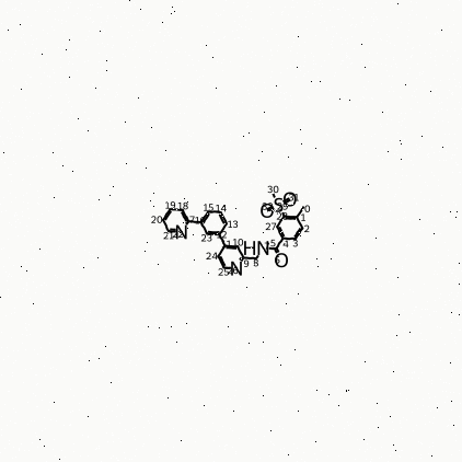 Cc1ccc(C(=O)NCc2cc(-c3cccc(-c4ccccn4)c3)ccn2)cc1S(C)(=O)=O